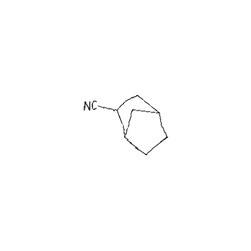 N#C[C]1CC2CCC1C2